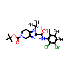 [2H]c1c([2H])c(Br)c(Cl)c(NC(=O)c2nc3c(n2C([2H])([2H])[2H])CCN(C(=O)OC(C)(C)C)C3)c1[2H]